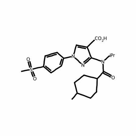 CC1CCC(C(=O)N(c2nn(-c3ccc(S(C)(=O)=O)cc3)cc2C(=O)O)C(C)C)CC1